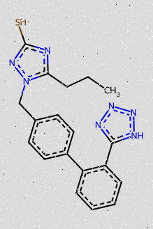 CCCc1nc(S)nn1Cc1ccc(-c2ccccc2-c2nnn[nH]2)cc1